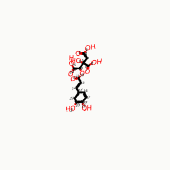 O=C(O)CC(O)(C(=O)O)C(OC(=O)C=Cc1ccc(O)c(O)c1)C(=O)O